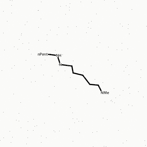 CCCCCN[N]CCCCCNC